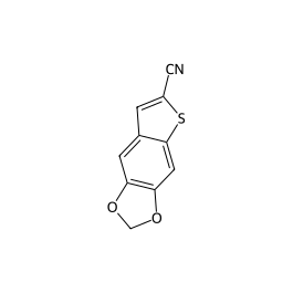 N#Cc1cc2cc3c(cc2s1)OCO3